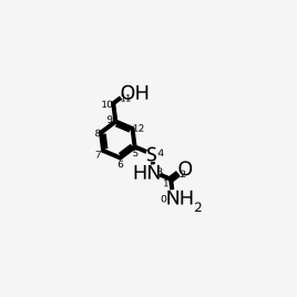 NC(=O)NSc1cccc(CO)c1